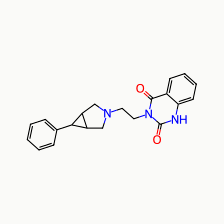 O=c1[nH]c2ccccc2c(=O)n1CCN1CC2C(C1)C2c1ccccc1